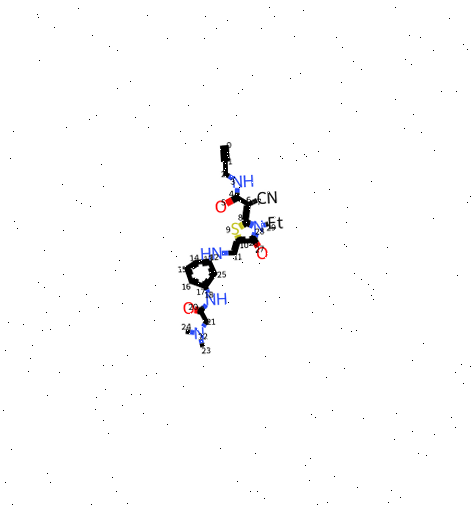 C#CCNC(=O)C(C#N)=c1sc(=CNc2cccc(NC(=O)CN(C)C)c2)c(=O)n1CC